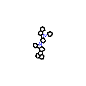 c1ccc(-n2c3ccc(-n4c5ccccc5c5c6c(ccc54)-c4cccc5cccc-6c45)cc3c3ccc4ccccc4c32)cc1